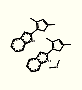 CC1=CC(C)=C(c2cc3ccccc3[nH]2)C1.CC1=CC(C)=C(c2cc3ccccc3[nH]2)C1.[CH3][Ti][CH3]